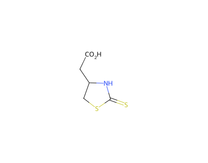 O=C(O)CC1CSC(=S)N1